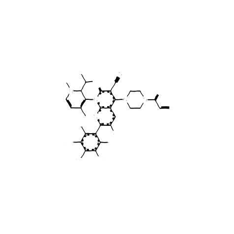 C=CC(=O)N1CCN(c2c(C#N)c(=O)n(C3=C(C)C=CN(C)C3C(C)C)c3nc(-c4c(Cl)c(O)c(Cl)c(Cl)c4Cl)c(Cl)cc23)CC1